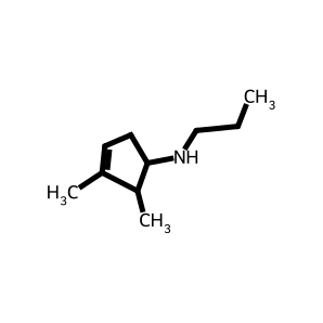 CCCNC1CC=C(C)C1C